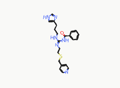 O=C(NC(=NCCSCc1ccncc1)NCCCc1c[nH]cn1)c1ccccc1